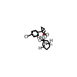 CCOC(=O)N1[C@@H]2CC[C@H]1C[C@@H](NC(=O)C1(c3ccc(Cl)cc3)CC1)C2